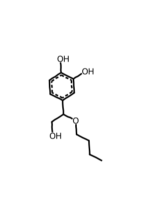 CCCCOC(CO)c1ccc(O)c(O)c1